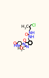 C/C(=C\CNC(=O)NCc1cccc2nc(C)n(C3CCC(=O)NC3=O)c(=O)c12)CCl